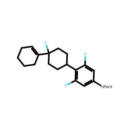 CCCCCc1cc(F)c(C2CCC(F)(C3=CCCCC3)CC2)c(F)c1